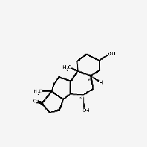 CC12CCC3C(C1CCC2=O)[C@H](O)C[C@H]1CC(O)CCC31C